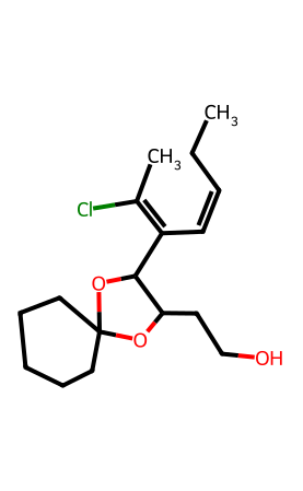 CC/C=C\C(=C(/C)Cl)C1OC2(CCCCC2)OC1CCO